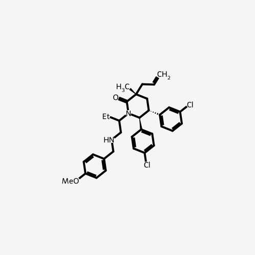 C=CC[C@]1(C)C[C@H](c2cccc(Cl)c2)[C@@H](c2ccc(Cl)cc2)N(C(CC)CNCc2ccc(OC)cc2)C1=O